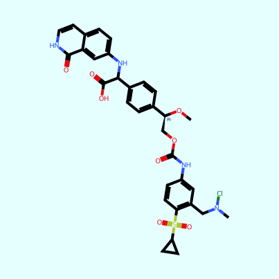 CO[C@@H](COC(=O)Nc1ccc(S(=O)(=O)C2CC2)c(CN(C)Cl)c1)c1ccc(C(Nc2ccc3cc[nH]c(=O)c3c2)C(=O)O)cc1